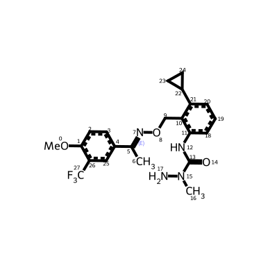 COc1ccc(/C(C)=N/OCc2c(NC(=O)N(C)N)cccc2C2CC2)cc1C(F)(F)F